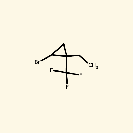 CCC1(C(F)(F)F)CC1Br